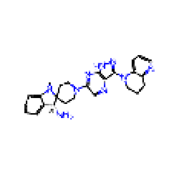 CN1c2ccccc2[C@@H](N)C12CCN(c1cnc3c(N4CCCc5ncccc54)n[nH]c3n1)CC2